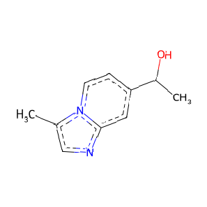 Cc1cnc2cc(C(C)O)ccn12